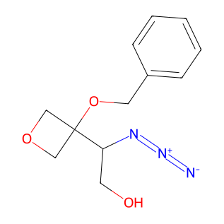 [N-]=[N+]=NC(CO)C1(OCc2ccccc2)COC1